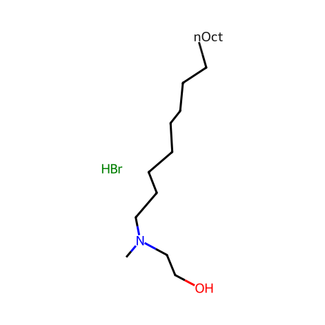 Br.CCCCCCCCCCCCCCCCN(C)CCO